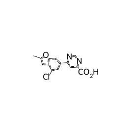 Cc1cc2c(Cl)cc(-c3cc(C(=O)O)ncn3)cc2o1